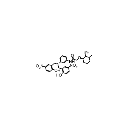 CC(C)C1C(C)CCCC1OCC(=O)Nc1cccc(N(Cc2cc([N+](=O)[O-])ccc2O)Cc2cc([N+](=O)[O-])ccc2O)c1